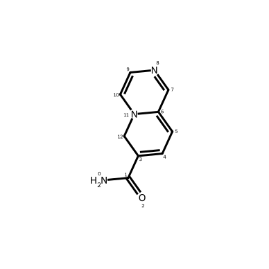 NC(=O)C1=CC=C2C=NC=CN2C1